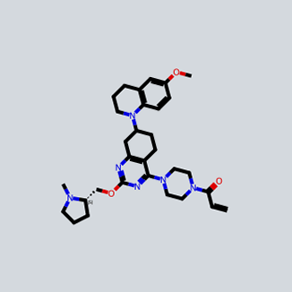 C=CC(=O)N1CCN(c2nc(OC[C@@H]3CCCN3C)nc3c2CCC(N2CCCc4cc(OC)ccc42)C3)CC1